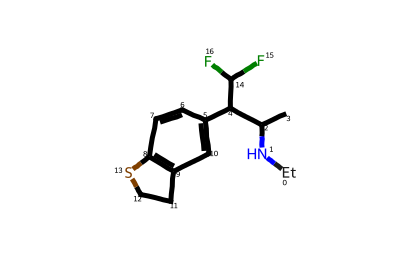 CCNC(C)C(c1ccc2c(c1)CCS2)C(F)F